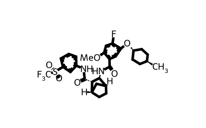 COc1cc(F)c(O[C@H]2CC[C@H](C)CC2)cc1C(=O)N[C@@H]1[C@@H]2CC[C@@H](C2)[C@@H]1C(=O)Nc1cccc(S(=O)(=O)C(F)(F)F)c1